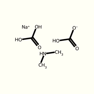 CNC.O=C(O)O.O=C([O-])O.[Na+]